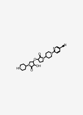 N#Cc1ccc(N2CCC(N3CCC(OC4CN(C5CCNCC5)C(=O)C4O)C3=O)CC2)nc1